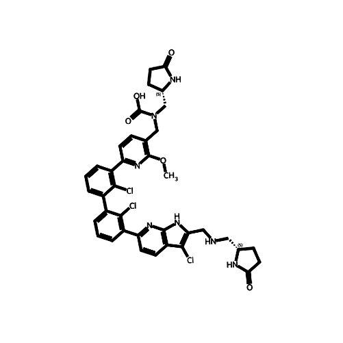 COc1nc(-c2cccc(-c3cccc(-c4ccc5c(Cl)c(CNC[C@@H]6CCC(=O)N6)[nH]c5n4)c3Cl)c2Cl)ccc1CN(C[C@@H]1CCC(=O)N1)C(=O)O